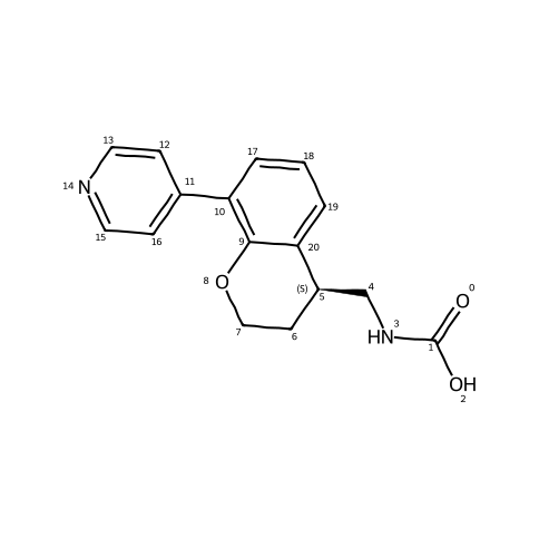 O=C(O)NC[C@H]1CCOc2c(-c3ccncc3)cccc21